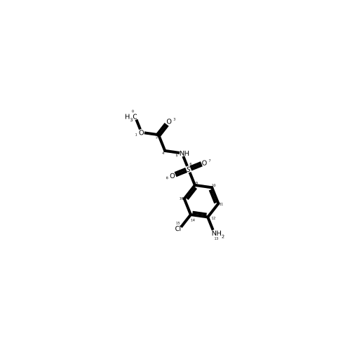 COC(=O)CNS(=O)(=O)c1ccc(N)c(Cl)c1